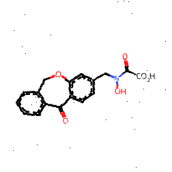 O=C(O)C(=O)N(O)Cc1ccc2c(c1)OCc1ccccc1C2=O